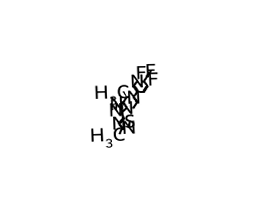 Cc1nsc(-c2nnc3n2CCN(c2ccc(C(F)(F)F)nc2)[C@@H]3C)n1